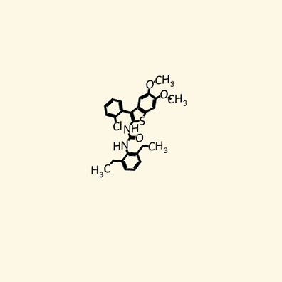 CCc1cccc(CC)c1NC(=O)Nc1sc2cc(OC)c(OC)cc2c1-c1ccccc1Cl